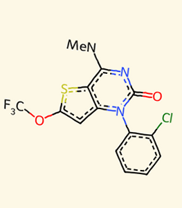 CNc1nc(=O)n(-c2ccccc2Cl)c2cc(OC(F)(F)F)sc12